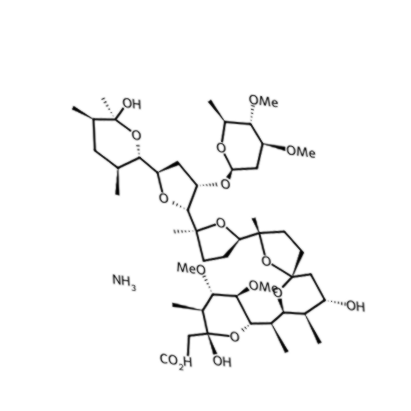 CO[C@@H]1[C@@H](OC)[C@H](C)[C@@](O)(CC(=O)O)O[C@H]1[C@H](C)[C@H]1O[C@@]2(CC[C@@](C)([C@H]3CC[C@@](C)([C@@H]4O[C@@H]([C@H]5O[C@](C)(O)[C@H](C)C[C@@H]5C)C[C@@H]4O[C@@H]4C[C@H](OC)[C@@H](OC)[C@H](C)O4)O3)O2)C[C@H](O)[C@H]1C.N